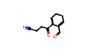 N#CCCC(=O)C1=CCCC=C1C=O